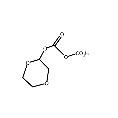 O=C(O)OC(=O)OC1COCCO1